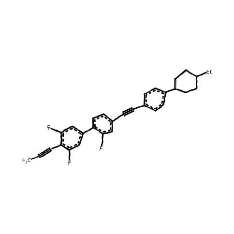 CCC1CCC(c2ccc(C#Cc3ccc(-c4cc(F)c(C#CC(F)(F)F)c(F)c4)c(F)c3)cc2)CC1